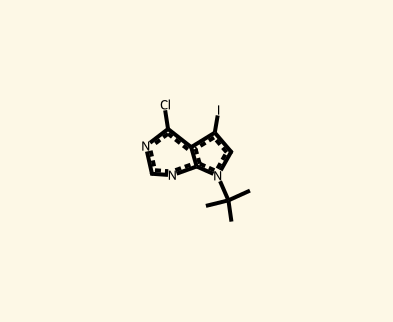 CC(C)(C)n1cc(I)c2c(Cl)ncnc21